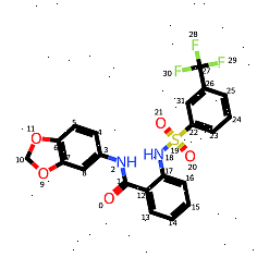 O=C(Nc1ccc2c(c1)OCO2)c1ccccc1NS(=O)(=O)c1cccc(C(F)(F)F)c1